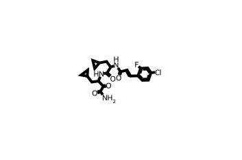 NC(=O)C(=O)C(CC1CC1)NC(=O)C(CC1CC1)NC(=O)/C=C/c1ccc(Cl)cc1F